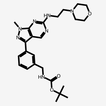 Cn1nc(-c2cccc(CNC(=O)OC(C)(C)C)c2)c2cnc(NCCN3CCOCC3)nc21